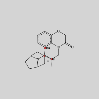 CCCCC1(O)CC2CCC(C1)N2C[C@@H](C)CN1C(=O)COc2ccccc21